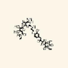 CCNC(=O)C1O[C@@H](n2cnc3c(N)nc(NCCOc4ccc(CC(=O)c5nc6c(c(=O)n(CC)c(=O)n6CC)n5C)cc4OC)nc32)[C@H](O)[C@@H]1O